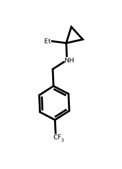 CCC1(NCc2ccc(C(F)(F)F)cc2)CC1